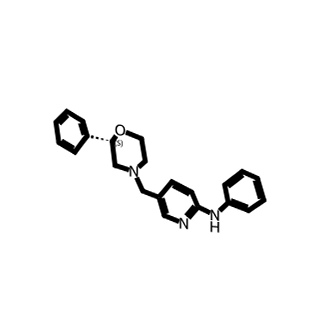 c1ccc(Nc2ccc(CN3CCO[C@@H](c4ccccc4)C3)cn2)cc1